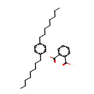 CCCCCCCCc1ccc(CCCCCCCC)cc1.O=C(O)c1ccccc1C(=O)O